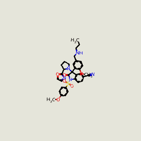 CCCNCc1ccc(OC)c(C2(N3CCCC3c3ncco3)C(=O)N(S(=O)(=O)c3ccc(OC)cc3)c3ccc(C#N)cc32)c1